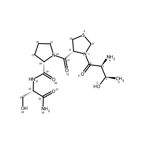 C[C@@H](O)[C@H](N)C(=O)N1CSC[C@H]1C(=O)N1CCC[C@H]1C(=O)N[C@@H](CO)C(N)=O